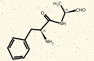 C[C@@H]([C]=O)NC(=O)[C@@H](N)Cc1ccccc1